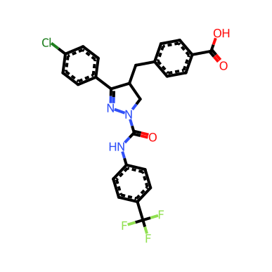 O=C(O)c1ccc(CC2CN(C(=O)Nc3ccc(C(F)(F)F)cc3)N=C2c2ccc(Cl)cc2)cc1